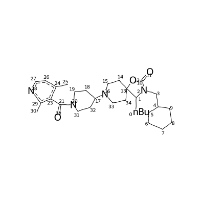 CCCCC1N(CC2CCCCC2)C(=O)OC12CCN(C1CCN(C(=O)c3c(C)ccnc3C)CC1)CC2